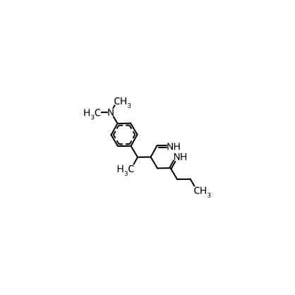 CCCC(=N)CC(C=N)C(C)c1ccc(N(C)C)cc1